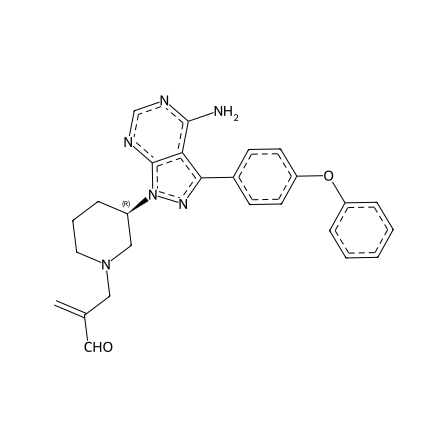 C=C(C=O)CN1CCC[C@@H](n2nc(-c3ccc(Oc4ccccc4)cc3)c3c(N)ncnc32)C1